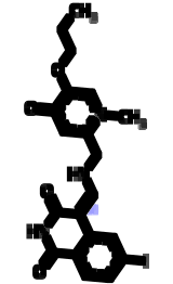 CCCOc1cn(C)c(CN/C=C2\C(=O)NC(=O)c3ccc(I)cc32)cc1=O